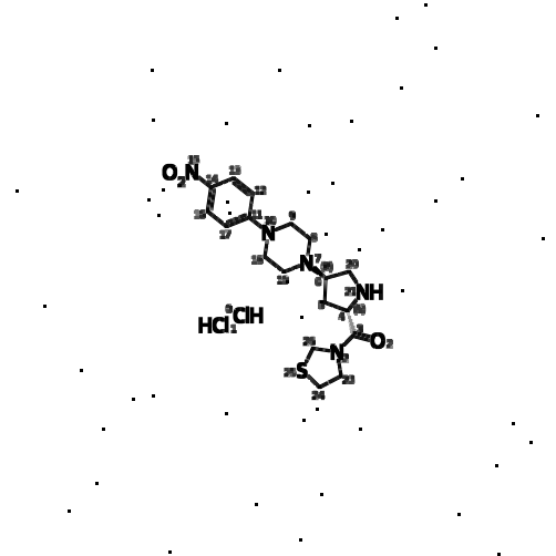 Cl.Cl.O=C([C@@H]1C[C@@H](N2CCN(c3ccc([N+](=O)[O-])cc3)CC2)CN1)N1CCSC1